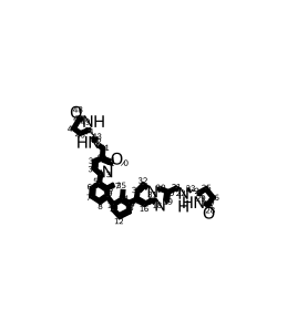 COc1nc(-c2cccc(-c3cccc(C4=CC5=NC=C(CNC[C@@H]6CCC(=O)N6)CN5C=C4)c3C)c2C)ccc1CNC[C@@H]1CCC(=O)N1